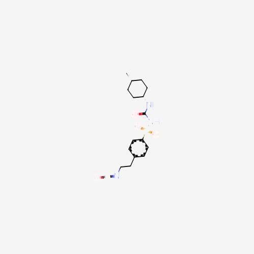 C[C@H]1CC[C@H](NC(=O)NS(=O)(=O)c2ccc(CCN=C=O)cc2)CC1